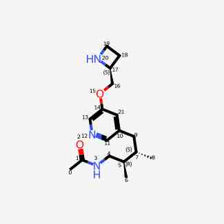 CC(=O)NC[C@H](C)[C@@H](C)Cc1cncc(OC[C@@H]2CCN2)c1